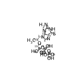 CC(Cn1cnc2c(=S)[nH]c(N)nc21)OCP(=O)(O)OP(=O)(O)OP(=O)(O)O